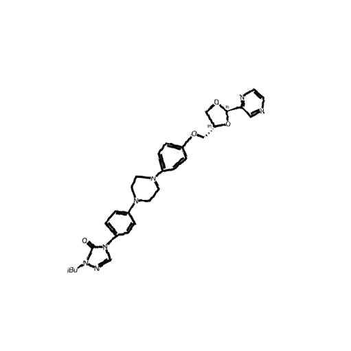 CCC(C)n1ncn(-c2ccc(N3CCN(c4ccc(OC[C@@H]5CO[C@@H](c6cnccn6)O5)cc4)CC3)cc2)c1=O